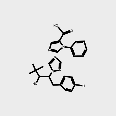 CC(C)(C)C(O)C(Cc1ccc(Cl)cc1)n1cncn1.O=C(O)c1cncn1-c1ccccc1